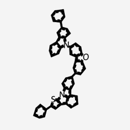 c1ccc(-c2ccc3c(c2)c2ccccc2n3-c2ccc3oc4ccc(-c5ccc6c(c5)c5cccc7c8cc(-c9ccccc9)sc8n6c57)cc4c3c2)cc1